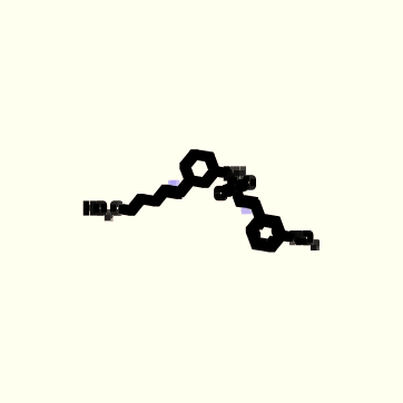 O=C(O)CCC/C=C/C1CCCC(NS(=O)(=O)/C=C/c2cccc([N+](=O)[O-])c2)C1